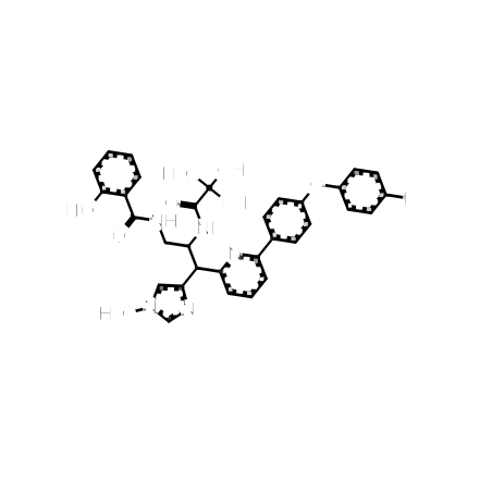 Cn1cnc(C(c2cccc(-c3ccc(Oc4ccc(F)cc4)cc3)n2)C(CNC(=O)c2ccccc2O)NC(=O)C(C)(C)O)c1